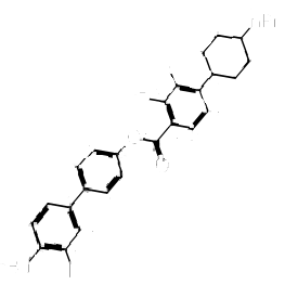 CCCCc1ccc(-c2ccc(OC(=O)c3ccc(C4CCC(CCC)CC4)c(F)c3F)cc2)cc1F